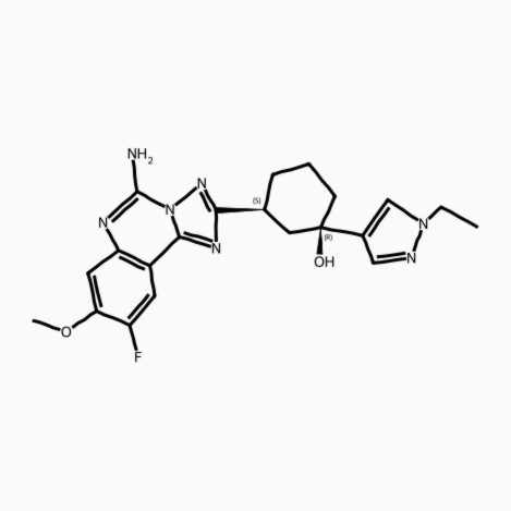 CCn1cc([C@@]2(O)CCC[C@H](c3nc4c5cc(F)c(OC)cc5nc(N)n4n3)C2)cn1